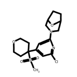 CS(=O)(=O)C1(c2cc(Cl)nc(N3CC4CCC(C3)O4)c2)CCOCC1